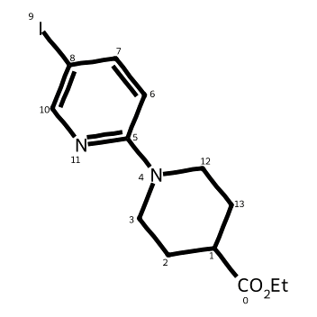 CCOC(=O)C1CCN(c2ccc(I)cn2)CC1